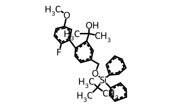 COc1ccc(F)c(-c2ccc(CO[Si](c3ccccc3)(c3ccccc3)C(C)(C)C)cc2C(C)(C)O)c1